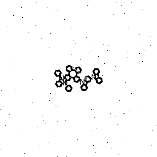 c1ccc(-n2c3ccccc3n(-c3ccccc3)c3cc4c5ccc(-n6c7ccccc7c7cc(-n8c9ccccc9c9ccccc98)ccc76)cc5c5ccccc5c5ccccc5c4cc32)cc1